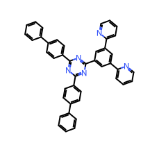 c1ccc(-c2ccc(-c3nc(-c4ccc(-c5ccccc5)cc4)nc(-c4cc(-c5ccccn5)cc(-c5ccccn5)c4)n3)cc2)cc1